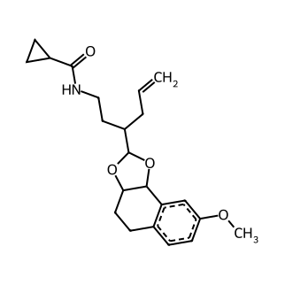 C=CCC(CCNC(=O)C1CC1)C1OC2CCc3ccc(OC)cc3C2O1